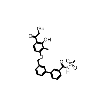 Cc1c(OCc2cccc(-c3cccc(C(=O)NS(C)(=O)=O)c3)c2)ccc(C(=O)CC(C)(C)C)c1O